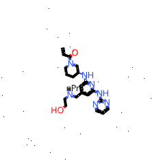 C=CC(=O)N1CCC[C@H](Nc2cc(CN(CCC)CCO)cc(Nc3ncccn3)n2)C1